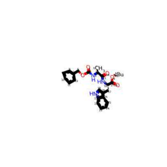 C[C@H](NC(=O)OCc1ccccc1)C(=O)N[C@@H](Cc1c[nH]c2ccccc12)C(=O)OC(C)(C)C